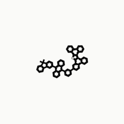 CC1(C)c2ccccc2-c2cc(-c3c4ccccc4c(-c4cccc(-c5ccc6c7ccccc7c7c(oc8c9ccccc9c9ccccc9c87)c6c5)c4)c4ccccc34)ccc21